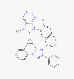 Cc1ccccc1N1c2ncncc2N(C)C1C1C2c3ccccc3N3N=C(c4ccccc4)N(c4ccccc4)C3C21